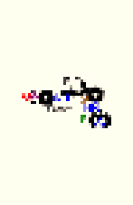 COc1cc(P(C)(C)=O)ccc1NCC#Cc1sc2c(NC[C@@]34CCCN3C[C@H](F)C4)cccc2c1CC(F)(F)F